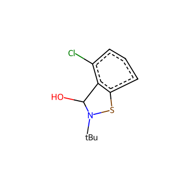 CC(C)(C)N1Sc2cccc(Cl)c2C1O